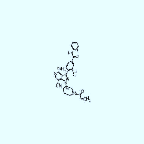 C=CC(=O)N1CCC[C@@H](n2nc(-c3ccc(C(=O)Nc4ccccn4)cc3Cl)c3c(N)ncc(C#N)c32)C1